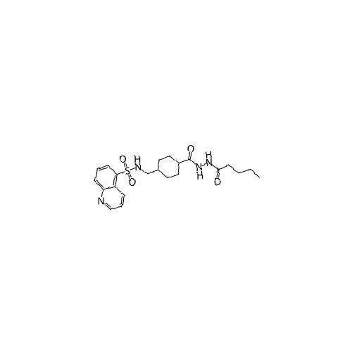 CCCCC(=O)NNC(=O)C1CCC(CNS(=O)(=O)c2cccc3ncccc23)CC1